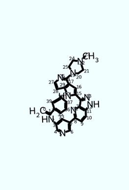 C=C(Nc1cncc(-c2ccc3[nH]nc(-c4cc5c(N6CCN(C)CC6)nccc5[nH]4)c3n2)c1)c1ccccc1